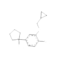 CCOC(=O)C1(c2ccc([N+](=O)[O-])c(OCC3CC3)c2)CCCC1